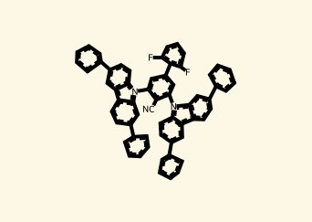 N#Cc1c(-n2c3ccc(-c4ccccc4)cc3c3ccc(-c4ccccc4)cc32)cc(-c2c(F)cccc2F)cc1-n1c2ccc(-c3ccccc3)cc2c2ccc(-c3ccccc3)cc21